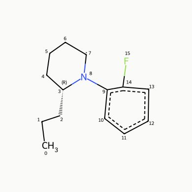 CCC[C@@H]1CCC[CH]N1c1ccccc1F